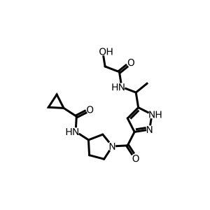 CC(NC(=O)CO)c1cc(C(=O)N2CCC(NC(=O)C3CC3)C2)n[nH]1